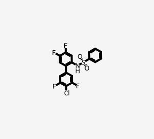 O=S(=O)(Nc1cc(F)c(F)cc1-c1cc(F)c(Cl)c(F)c1)c1ccccc1